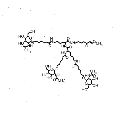 CO/C=C/C(=O)CCCCCNC(=O)C(CCCCNC(=O)CCCCCO[C@@H]1OC(CO)[C@H](O)[C@H](O)C1NC(C)=O)NC(=O)C(CCCCNC(=O)CCCCCO[C@@H]1OC(CO)[C@H](O)C(O)[C@@H]1NC(C)=O)NC(=O)CCCCCO[C@@H]1OC(CO)[C@H](O)C(O)[C@@H]1NC(C)=O